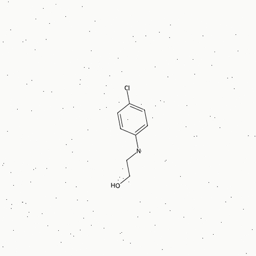 OCC[N]c1ccc(Cl)cc1